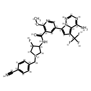 COc1ncc(-c2cc(C(F)(F)F)c3c(N)ncnn23)cc1C(=O)NC1CN(Cc2ccc(C#N)cc2)CC1F